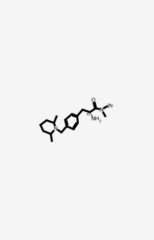 CC(C)N(C)C(=O)[C@H](N)Cc1ccc(CN2C(C)CCCC2C)cc1